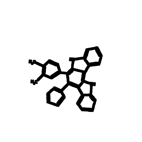 Cc1ccc(-c2c(-c3ccccc3)c3c4ccccc4[nH]c3c3c2[nH]c2ccccc23)cc1C